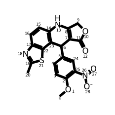 COc1ccc(C2C3=C(COC3=O)Nc3ccc4nc(C)sc4c32)cc1[N+](=O)[O-]